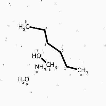 CCCCCC.CO.N.O